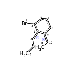 C=C/C=c1/c(Br)ccc/c1=C/C